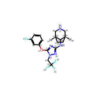 Fc1cccc(Oc2nc(NC3[C@@H]4CC[C@H]3CNC4)nn2CC(F)(F)F)c1